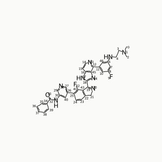 CN(C)CCNc1cc(F)cc(-c2nccc3[nH]c(C4=NCc5ccc(-c6cncc(NC(=O)c7ccccc7)c6)c(F)c54)nc23)c1